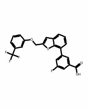 O=C(O)c1cc(F)cc(-c2cccc3cc(COc4cccc(C(F)(F)F)c4)sc23)c1